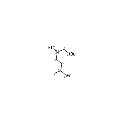 CCN(CCC(C)C(C)C)CC(C)(C)C